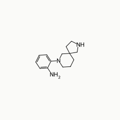 Nc1ccccc1N1CCCC2(CCNC2)C1